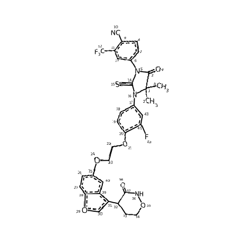 CC1(C)C(=O)N(c2ccc(C#N)c(C(F)(F)F)c2)C(=S)N1c1ccc(OCCOc2ccc3occ(C4CCONC4=O)c3c2)c(F)c1